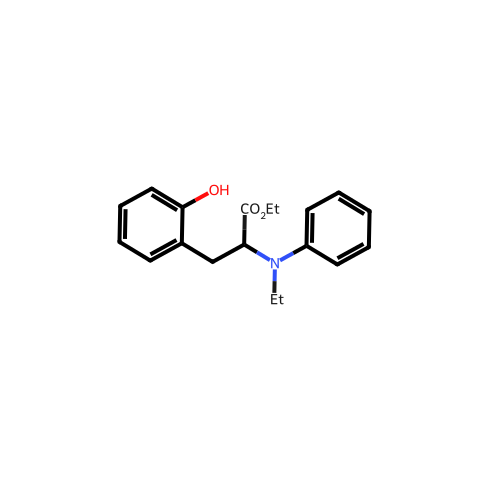 CCOC(=O)C(Cc1ccccc1O)N(CC)c1ccccc1